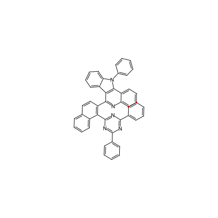 c1ccc(-c2nc(-c3ccccc3)nc(-c3c(-c4nc5ccccc5c5c4c4ccccc4n5-c4ccccc4)ccc4ccccc34)n2)cc1